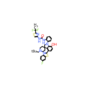 CC(C)(C)CN1CCC2(CC1)CN(c1ccccc1NC(=O)Nc1csc(C(C)(F)F)n1)c1c(O)ccc(-c3nc4ccc(F)cc4s3)c12